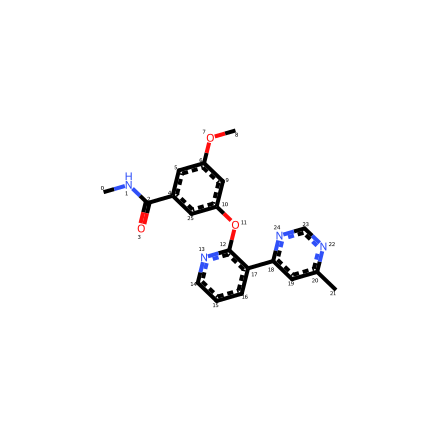 CNC(=O)c1cc(OC)cc(Oc2ncccc2-c2cc(C)ncn2)c1